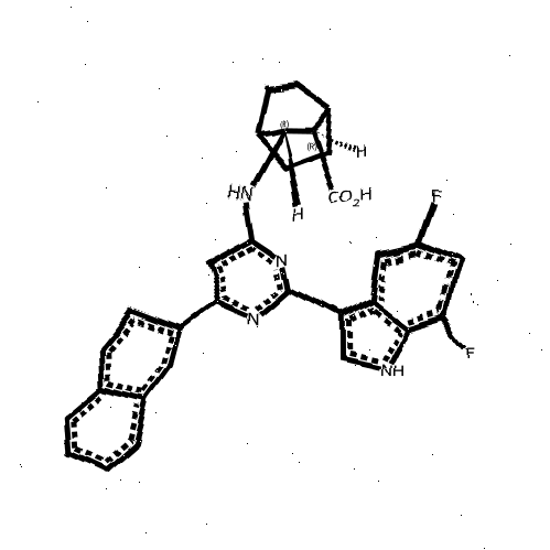 O=C(O)[C@@H]1C2CCC(CC2)[C@H]1Nc1cc(-c2ccc3ccccc3c2)nc(-c2c[nH]c3c(F)cc(F)cc23)n1